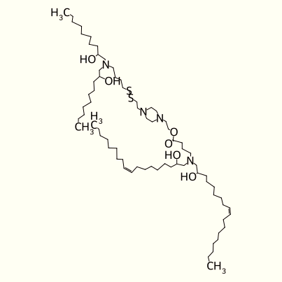 CCCCCCCC/C=C\CCCCCCC(O)CN(CCCC(=O)OCCN1CCN(CCSSCCCCN(CC(O)CCCCCCCC)CC(O)CCCCCCCC)CC1)CC(O)CCCCCC/C=C\CCCCCCCC